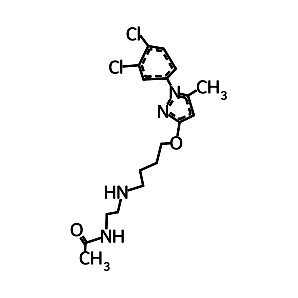 CC(=O)NCCNCCCCOc1cc(C)n(-c2ccc(Cl)c(Cl)c2)n1